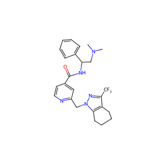 CN(C)CC(NC(=O)c1ccnc(Cn2nc(C(F)(F)F)c3c2CCCC3)c1)c1ccccc1